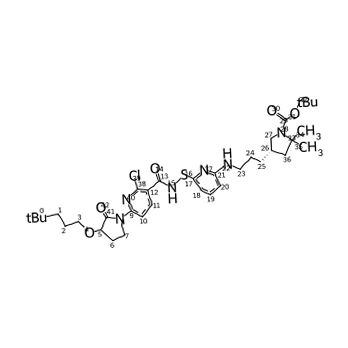 CC(C)(C)CCCOC1CCN(c2ccc(C(=O)NSc3cccc(NCCC[C@@H]4CN(C(=O)OC(C)(C)C)C(C)(C)C4)n3)c(Cl)n2)C1=O